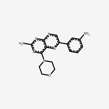 Nc1nc(N2CCOCC2)c2nc(-c3cccc([N+](=O)[O-])c3)cnc2n1